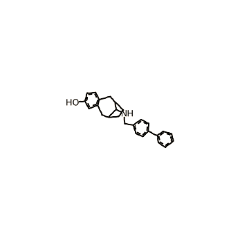 Oc1ccc2c(c1)CC1CCC(C2)C1NCc1ccc(-c2ccccc2)cc1